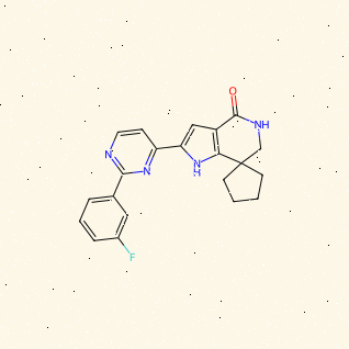 O=C1NCC2(CCCC2)c2[nH]c(-c3ccnc(-c4cccc(F)c4)n3)cc21